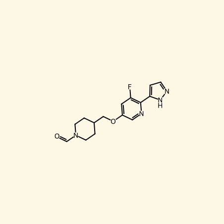 O=CN1CCC(COc2cnc(-c3ccn[nH]3)c(F)c2)CC1